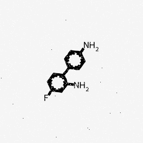 Nc1ccc(-c2ccc(F)cc2N)cc1